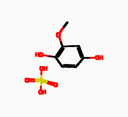 COc1cc(O)ccc1O.O=S(=O)(O)O